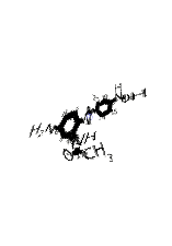 CC(=O)Nc1cc(N)ccc1/N=N/c1ccc(NO)cc1